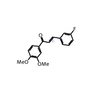 COc1ccc(C(=O)/C=C/c2cccc(F)c2)cc1OC